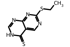 CCSc1ncc2c(=S)[nH]cnc2n1